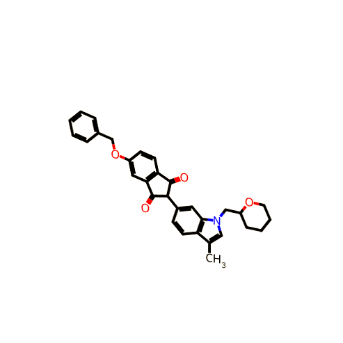 Cc1cn(CC2CCCCO2)c2cc(C3C(=O)c4ccc(OCc5ccccc5)cc4C3=O)ccc12